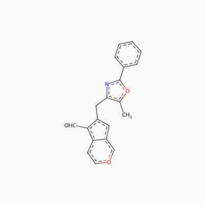 Cc1oc(-c2ccccc2)nc1Cc1cc2coccc-2c1C=O